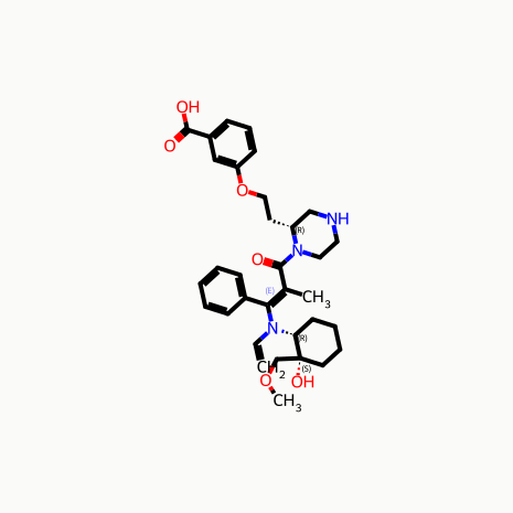 C=CN(/C(=C(\C)C(=O)N1CCNC[C@H]1CCOc1cccc(C(=O)O)c1)c1ccccc1)[C@@H]1CCCC[C@@]1(O)COC